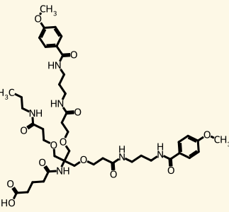 CCCNC(=O)CCOCC(COCCC(=O)NCCCNC(=O)c1ccc(OC)cc1)(COCCC(=O)NCCCNC(=O)c1ccc(OC)cc1)NC(=O)CCCC(=O)O